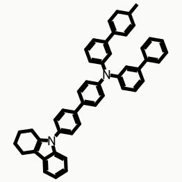 CC1C=CC(c2cccc(N(c3ccc(-c4ccc(-n5c6c(c7ccccc75)CCCC6)cc4)cc3)c3cccc(-c4ccccc4)c3)c2)=CC1